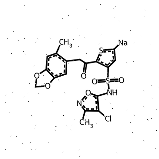 Cc1cc2c(cc1CC(=O)c1s[c]([Na])cc1S(=O)(=O)Nc1onc(C)c1Cl)OCO2